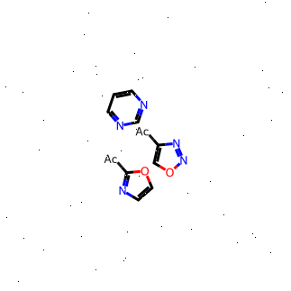 CC(=O)c1conn1.CC(=O)c1ncco1.c1cncnc1